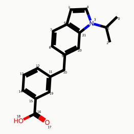 CC(C)n1ccc2ccc(Cc3cccc(C(=O)O)c3)cc21